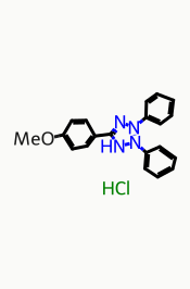 COc1ccc(C2=NN(c3ccccc3)N(c3ccccc3)N2)cc1.Cl